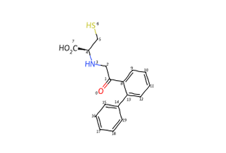 O=C(CN[C@H](CS)C(=O)O)c1ccccc1-c1ccccc1